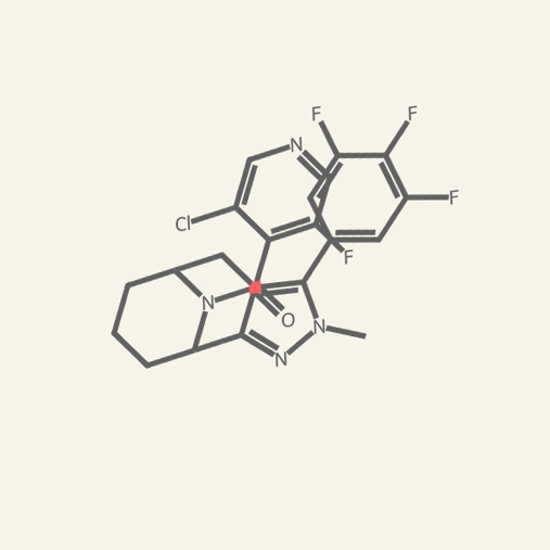 Cn1nc2c(c1-c1cc(F)c(F)c(F)c1)CC1CCCC2N1C(=O)c1c(F)cncc1Cl